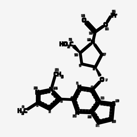 Cc1cc(-c2nc(O[C@@H]3C[C@@H](C(=O)O)N(C(=O)OC(C)C)C3)c3sccc3n2)n(C)n1